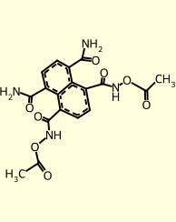 CC(=O)ONC(=O)c1ccc(C(=O)NOC(C)=O)c2c(C(N)=O)ccc(C(N)=O)c12